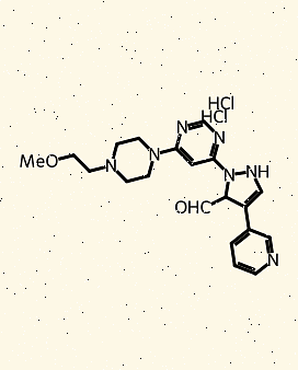 COCCN1CCN(c2cc(N3NC=C(c4cccnc4)C3C=O)ncn2)CC1.Cl.Cl